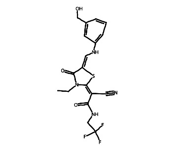 CCn1c(=C(C#N)C(=O)NCC(F)(F)F)sc(=CNc2cccc(CO)c2)c1=O